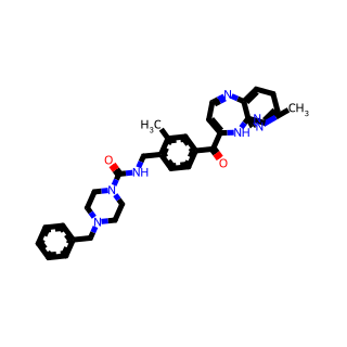 Cc1cc(C(=O)C2=CC=NC3=CCC=C4N(C)N=CC34N2)ccc1CNC(=O)N1CCN(Cc2ccccc2)CC1